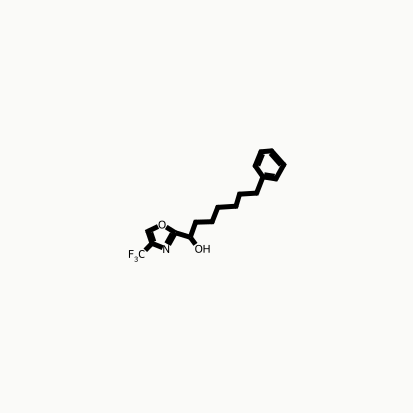 OC(CCCCCCc1ccccc1)c1nc(C(F)(F)F)co1